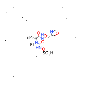 CCC[C@@H](C(=O)NOCc1cocn1)N(CC)C(=O)NOS(=O)(=O)O